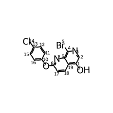 Oc1cnc(Br)c2nc(Oc3ccc(Cl)cc3)ccc12